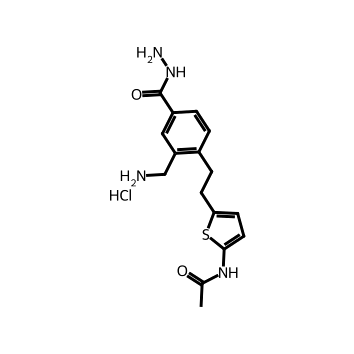 CC(=O)Nc1ccc(CCc2ccc(C(=O)NN)cc2CN)s1.Cl